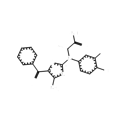 C[C@H](C(N)=O)N(c1ccc(Cl)c(Cl)c1)c1nc(N)c(C(=O)c2ccccc2)s1